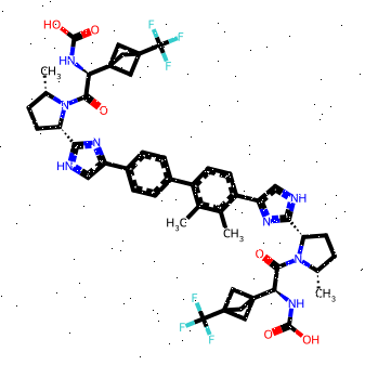 Cc1c(-c2ccc(-c3c[nH]c([C@@H]4CC[C@H](C)N4C(=O)[C@@H](NC(=O)O)C45CC(C(F)(F)F)(C4)C5)n3)cc2)ccc(-c2c[nH]c([C@@H]3CC[C@H](C)N3C(=O)[C@@H](NC(=O)O)C34CC(C(F)(F)F)(C3)C4)n2)c1C